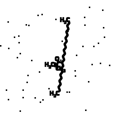 CCCCCCCCCCCCCCC(CCCCCCCCCC)C(=O)N(C)C